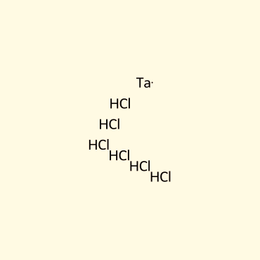 Cl.Cl.Cl.Cl.Cl.Cl.[Ta]